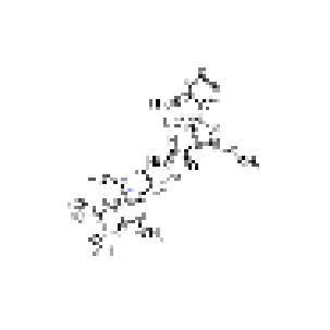 C=Nc1cc(OC)c(OC)cc1/C(=C\C)Oc1ccc(NC(=O)c2nn(-c3cncnc3C(C)C)cc2OCC)nc1